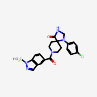 O=C(c1ccc2c(cnn2C(=O)O)c1)N1CCC2(CC1)C(=O)NCN2c1ccc(Cl)cc1